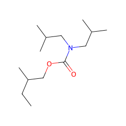 CCC(C)COC(=O)N(CC(C)C)CC(C)C